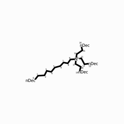 CCCCCCCCCCCCCCCCCCC[N+](CCCCCCCCCCCC)(CCCCCCCCCCCC)CCCCCCCCCCCC